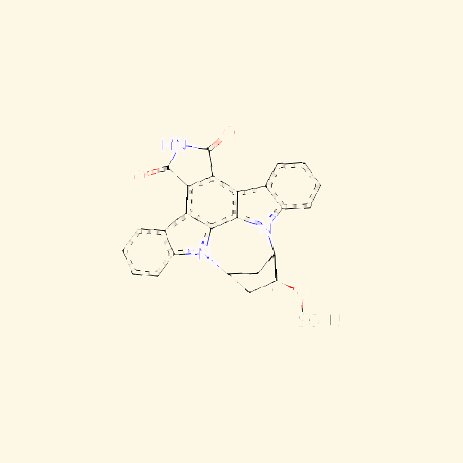 O=C1NC(=O)c2c1c1c3ccccc3n3c1c1c2c2ccccc2n1C1CC3C[C@@H]1OS(=O)(=O)O